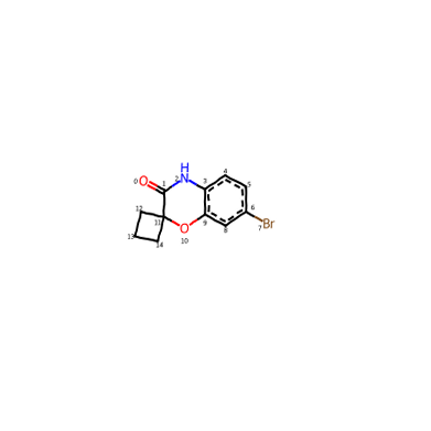 O=C1Nc2ccc(Br)cc2OC12CCC2